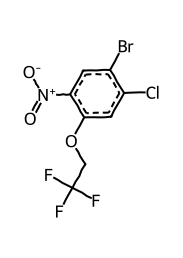 O=[N+]([O-])c1cc(Br)c(Cl)cc1OCC(F)(F)F